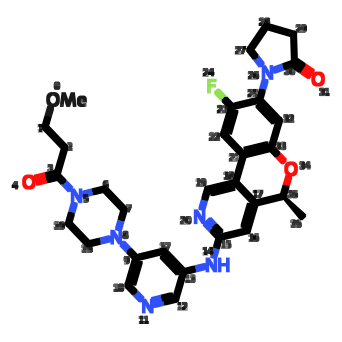 COCCC(=O)N1CCN(c2cncc(Nc3cc4c(cn3)-c3cc(F)c(N5CCCC5=O)cc3O[C@H]4C)c2)CC1